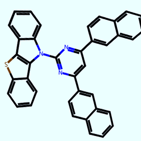 c1ccc2cc(-c3cc(-c4ccc5ccccc5c4)nc(-n4c5ccccc5c5sc6ccccc6c54)n3)ccc2c1